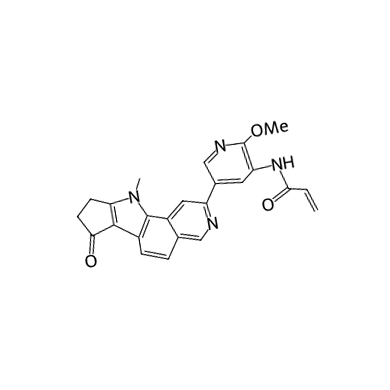 C=CC(=O)Nc1cc(-c2cc3c(ccc4c5c(n(C)c43)CCC5=O)cn2)cnc1OC